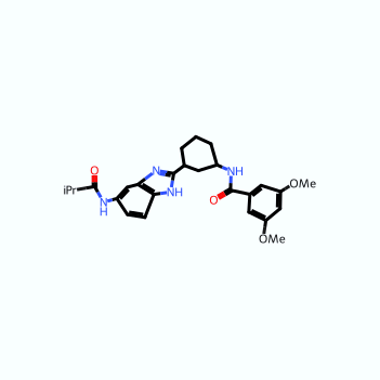 COc1cc(OC)cc(C(=O)NC2CCCC(c3nc4cc(NC(=O)C(C)C)ccc4[nH]3)C2)c1